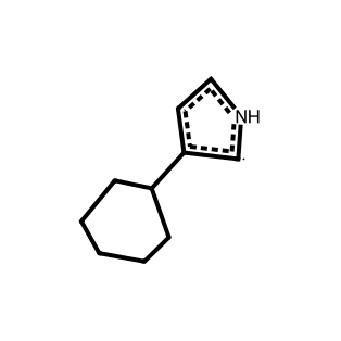 [c]1[nH]ccc1C1CCCCC1